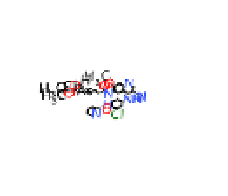 CCOc1cc2ncc(C#N)c(Nc3ccc(OCc4ccccn4)c(Cl)c3)c2cc1NC(=O)C=CC[AsH]CC(=O)OC(C)(C)C